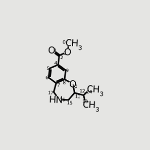 COC(=O)c1ccc2c(c1)OC(C(C)C)CNC2